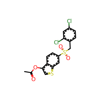 CC(=O)Oc1csc2cc(S(=O)(=O)Cc3ccc(Cl)cc3Cl)ccc12